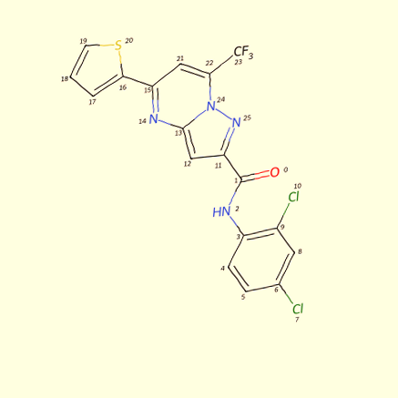 O=C(Nc1ccc(Cl)cc1Cl)c1cc2nc(-c3cccs3)cc(C(F)(F)F)n2n1